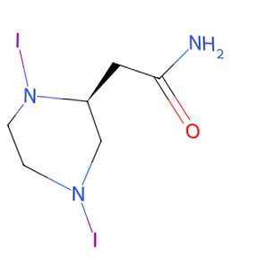 NC(=O)C[C@H]1CN(I)CCN1I